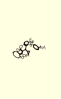 Nc1cccc(S(=O)(=O)Nc2cccc(C(c3c(O)c4c(oc3=O)CCCCCC4=O)C3CC3)c2)c1